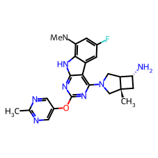 CNc1cc(F)cc2c1[nH]c1nc(Oc3cnc(C)nc3)nc(N3CC4[C@H](N)C[C@]4(C)C3)c12